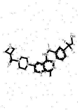 Cc1nnc(N[C@H](C)c2cccc(C(F)(F)CO)c2)c2cc(N3CCN(C(=O)C4COC4)CC3)cnc12